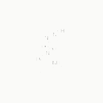 Cn1cnc(S(=O)(=O)N2C[C@H]3CCCC[C@]3(N)C2)c1